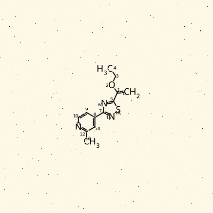 C=C(OCC)c1nc(-c2ccnc(C)c2)ns1